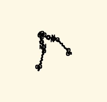 C=CC(=O)OCCCCCCCCCOc1cnc(-c2ccc(CO[C@@H]3OCCO[C@H]3OCc3ccc(-c4ncc(OCCCCCCCCCOC(=O)C=C)cn4)cc3)cc2)nc1